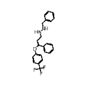 FC(F)(F)c1ccc(OC(CCNNCc2ccccc2)c2ccccc2)cc1